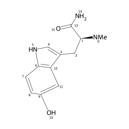 CN[C@@H](Cc1c[nH]c2ccc(O)cc12)C(N)=O